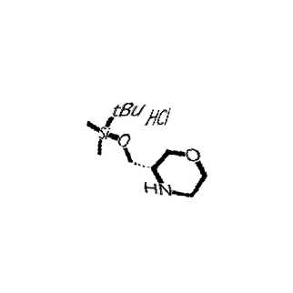 CC(C)(C)[Si](C)(C)OC[C@@H]1COCCN1.Cl